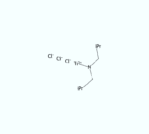 CC(C)C[N]([Ti+3])CC(C)C.[Cl-].[Cl-].[Cl-]